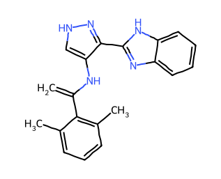 C=C(Nc1c[nH]nc1-c1nc2ccccc2[nH]1)c1c(C)cccc1C